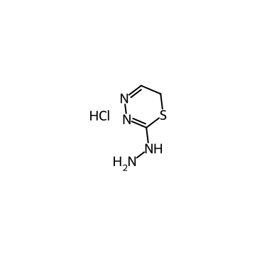 Cl.NNC1=NN=CCS1